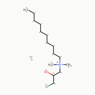 CCCCCCCCCC[N+](C)(C)CC(O)CCl.[Cl-]